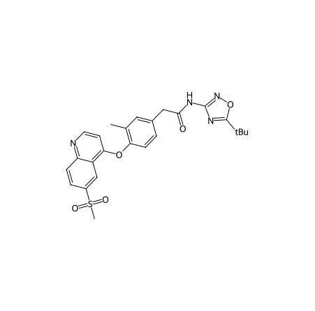 Cc1cc(CC(=O)Nc2noc(C(C)(C)C)n2)ccc1Oc1ccnc2ccc(S(C)(=O)=O)cc12